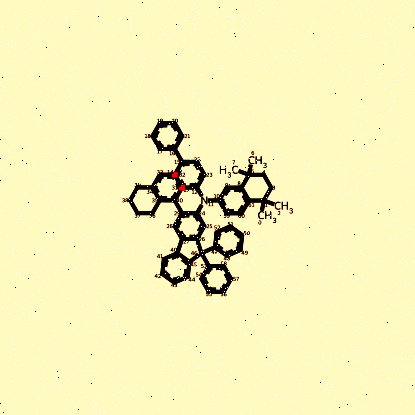 CC1(C)CCC(C)(C)c2cc(N(c3ccc(-c4ccccc4)cc3)c3cc4c(cc3-c3cccc5c3CCCC5)-c3ccccc3C4(c3ccccc3)c3ccccc3)ccc21